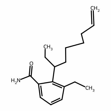 C=CCCCCC(CC)c1c(CC)cccc1C(N)=O